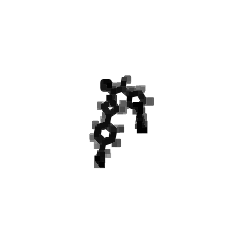 CC(C(=O)N1CC(c2ccc(C#N)cc2)C1)C1CCN(C#N)C1